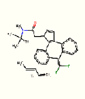 C=CC=CC.CN([Si](=O)CC1C=CC2=C1c1ccccc1C(=C(F)F)c1ccccc12)C(C)(C)C.[Ti]